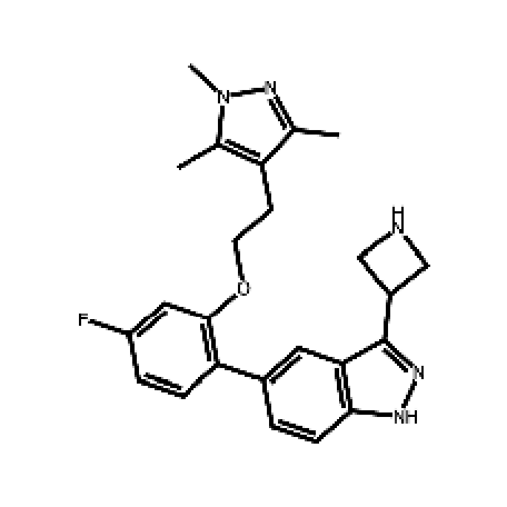 Cc1nn(C)c(C)c1CCOc1cc(F)ccc1-c1ccc2[nH]nc(C3CNC3)c2c1